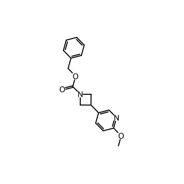 COc1ccc(C2CN(C(=O)OCc3ccccc3)C2)cn1